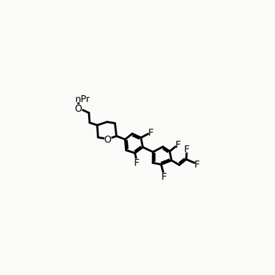 CCCOCCC1CCC(c2cc(F)c(-c3cc(F)c(C=C(F)F)c(F)c3)c(F)c2)OC1